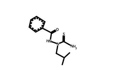 CC(C)CN(NC(=O)c1ccccc1)C(N)=S